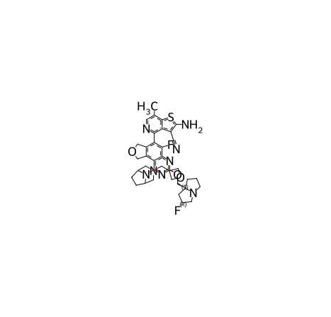 Cc1cnc(-c2c3c(c4c(N5C6CCC5CN(CC5COC5)C6)nc(OC[C@@]56CCCN5C[C@H](F)C6)nc4c2F)COC3)c2c(C#N)c(N)sc12